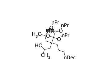 CCCCCCCCCCCCCC(CC(C)O)(CC(C)O)C(OCCC)(OCCC)[C](OCCC)OCCC